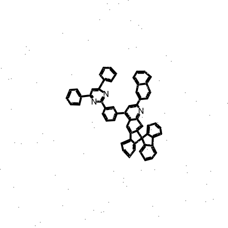 c1ccc(-c2cc(-c3ccccc3)nc(-c3cccc(-c4cc(-c5ccc6ccccc6c5)nc5cc6c(cc45)-c4ccccc4C64c5ccccc5-c5ccccc54)c3)n2)cc1